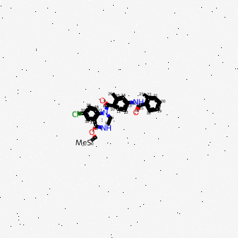 CSCOC1NCCN(C(=O)c2ccc(NC(=O)c3ccccc3C)cc2C)c2ccc(Cl)cc21